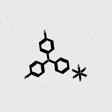 Fc1ccc([S+](c2ccccc2)c2ccc(F)cc2)cc1.[F][Sb-]([F])([F])([F])([F])[F]